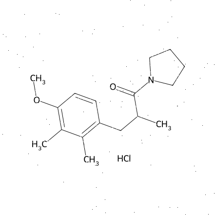 COc1ccc(CC(C)C(=O)N2CCCC2)c(C)c1C.Cl